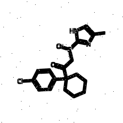 Cc1c[nH]c([S+]([O-])CC(=O)C2(c3ccc(Cl)cc3)CCCCC2)n1